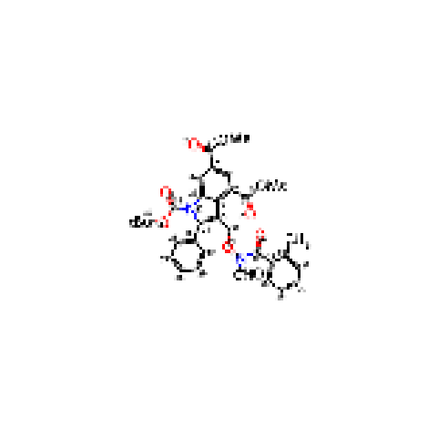 COC(=O)c1cc(C(=O)OC)c2c(CON(C=O)C(=O)c3ccccc3C)c(-c3ccccc3)n(C(=O)OC(C)(C)C)c2c1